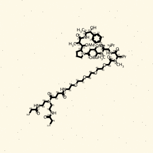 CCC(C)C(C(CC(=O)N1CCCC1C(OC)C(C)C(=O)N[C@@H](C)[C@H](O)c1ccccc1)OC)N(C)C(=O)[C@@H](NC(=O)C(C(C)C)N(C)C(=O)COCCOCCOCCOCCNC(=O)CCC(=O)N(CCNC(=O)CI)CCNC(=O)CI)C(C)C